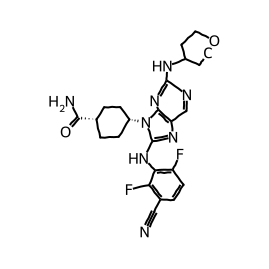 N#Cc1ccc(F)c(Nc2nc3cnc(NC4CCOCC4)nc3n2[C@H]2CC[C@@H](C(N)=O)CC2)c1F